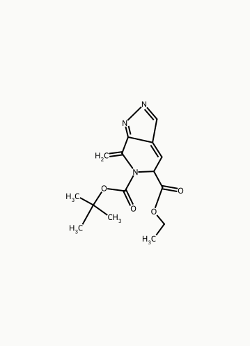 C=C1C2=NN=CC2=CC(C(=O)OCC)N1C(=O)OC(C)(C)C